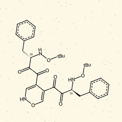 CC(C)(C)ON[C@@H](Cc1ccccc1)C(=O)C(=O)C1=CNOC=C1C(=O)C(=O)[C@H](Cc1ccccc1)NOC(C)(C)C